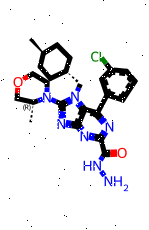 C[C@@H]1COCCN1c1nc2nc(C(=O)NN)nc(-c3cccc(Cl)c3)c2n1C[C@H]1CC[C@H](C)CC1